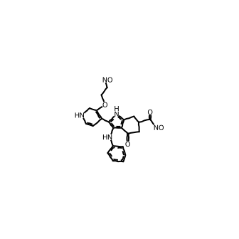 O=NCCOC1=C(c2[nH]c3c(c2Nc2ccccc2)C(=O)CC(C(=O)N=O)C3)C=CNC1